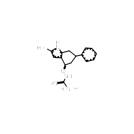 Cc1cc2c([nH]1)CC(c1ccccc1)CC2=NNC(=N)N.Cl